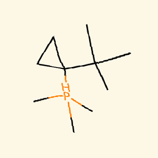 CC(C)(C)C1([PH](C)(C)C)CC1